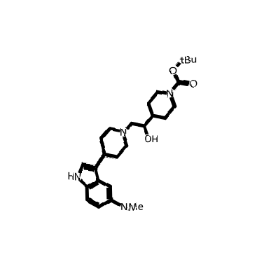 CNc1ccc2[nH]cc(C3CCN(CC(O)C4CCN(C(=O)OC(C)(C)C)CC4)CC3)c2c1